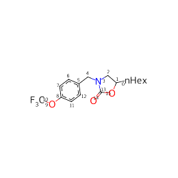 CCCCCCC1CN(Cc2ccc(OC(F)(F)F)cc2)C(=O)O1